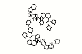 C1=Cc2c(ccc3oc4c(-c5cccc(-c6ccc(C7=C(c8ccccc8)c8cccc9ccc%10c(c89)c8c7cccc8n%10-c7cc8ccc9ccc(-c%10ccccc%10)nc9c8cn7)cc6)c5)nc(-n5c6cccc7c6c6c8c(cccc8ccc65)C(c5ccccc5)=C7c5ccccc5)nc4c23)CC1